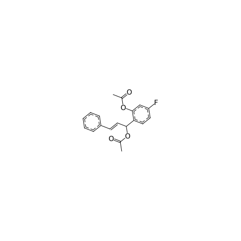 CC(=O)Oc1cc(F)ccc1C(C=Cc1ccccc1)OC(C)=O